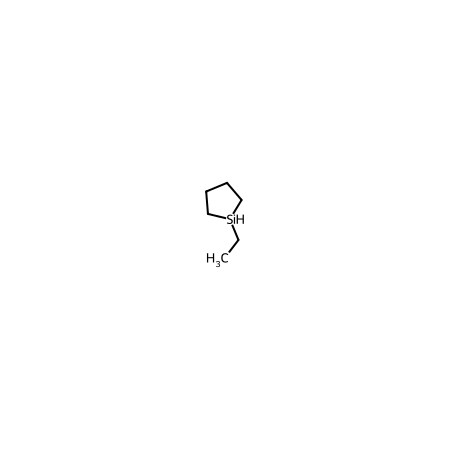 CC[SiH]1CCCC1